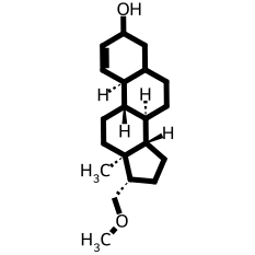 COC[C@H]1CC[C@H]2[C@@H]3CCC4CC(O)C=C[C@@H]4[C@H]3CC[C@]12C